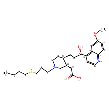 CCCCSCCCN1CC[C@@H](CC[C@@H](O)c2ccnc3ccc(OC)cc23)[C@@H](CC(=O)O)C1